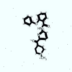 CN1CCC(C(=O)c2cccc(NC(=O)c3ccccc3Oc3ccccc3)n2)CC1